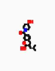 CC(C)/C=C(\Cc1ccc(C(=O)N2CCC(O)CC2)cc1)C(=O)O